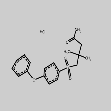 CC(C)(CC(N)=O)CS(=O)(=O)c1ccc(Oc2ccccc2)cc1.Cl